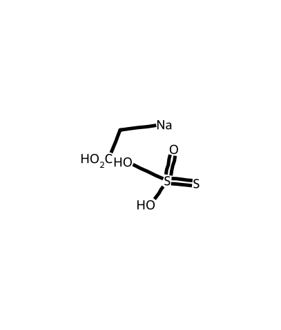 O=C(O)[CH2][Na].O=S(O)(O)=S